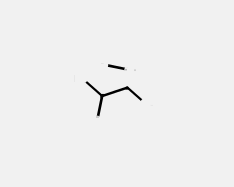 CC(C)O.CCC(CC)CO